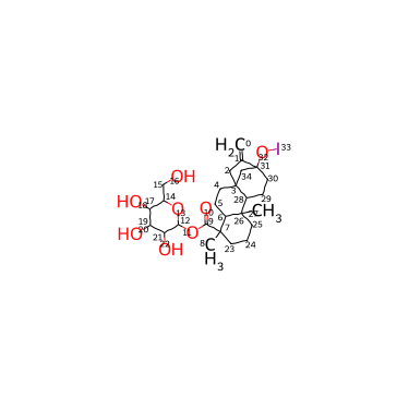 C=C1CC23CCC4C(C)(C(=O)OC5OC(CO)C(O)C(O)C5O)CCCC4(C)C2CCC1(OI)C3